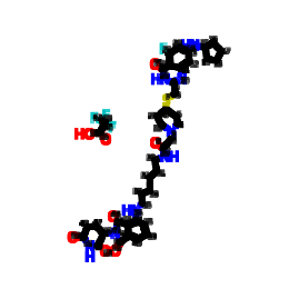 O=C(CN1CCC(SCc2nc3cc(NC4CCCC4)cc(F)c3c(=O)[nH]2)CC1)NCCCCCCNc1cccc2c1C(=O)N(C1CCC(=O)NC1=O)C2=O.O=C(O)C(F)(F)F